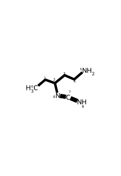 CCC(CCN)N=C=N